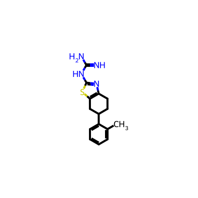 Cc1ccccc1C1CCc2nc(NC(=N)N)sc2C1